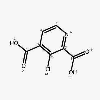 O=C(O)c1ccnc(C(=O)O)c1Cl